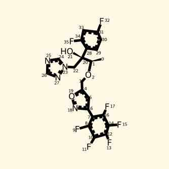 C[C@@H](OCc1cc(-c2c(F)c(F)c(F)c(F)c2F)no1)[C@](O)(Cn1cncn1)c1ccc(F)cc1F